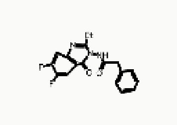 CCc1nc2cc(F)c(F)cc2c(=O)n1NC(=O)Cc1ccccc1